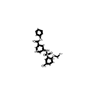 O=C(Oc1ccccc1)c1cncc(NS(=O)(=O)c2cc(Cl)ccc2OCF)c1